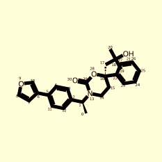 C[C@@H](c1ccc(-c2ccoc2)cc1)N1CC[C@](CC(C)(C)O)(c2ccccc2)OC1=O